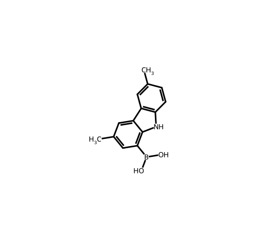 Cc1ccc2[nH]c3c(B(O)O)cc(C)cc3c2c1